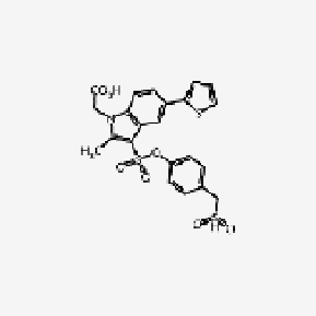 Cc1c(S(=O)(=O)Oc2ccc(C[SH](=O)=O)cc2)c2cc(-c3cccs3)ccc2n1CC(=O)O